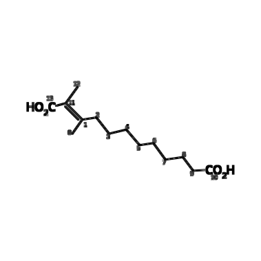 C/C(CCCCCCCCC(=O)O)=C(/C)C(=O)O